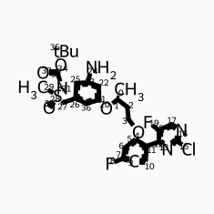 C[C@@H](CCOc1cc(F)ccc1-c1nc(Cl)ncc1F)Oc1cc(N)cc(CS(C)(=O)=NC(=O)OC(C)(C)C)c1